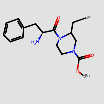 CC(C)CC1CN(C(=O)OC(C)(C)C)CCN1C(=O)[C@@H](N)Cc1ccccc1